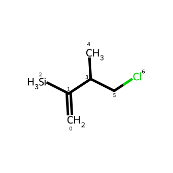 C=C([SiH3])C(C)CCl